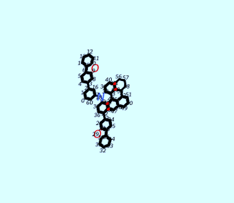 c1cc(-c2ccc3c(c2)oc2ccccc23)cc(N(c2ccc(-c3ccc4c(c3)oc3ccccc34)cc2)c2ccccc2-c2cccc3cccc(C4CCCCC4)c23)c1